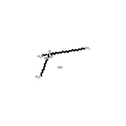 CCCCCCCCCCCCCCCCCCCCCC(=O)N[C@@H](CCCN)C(=O)NCCCCCCCCCCCC.Cl